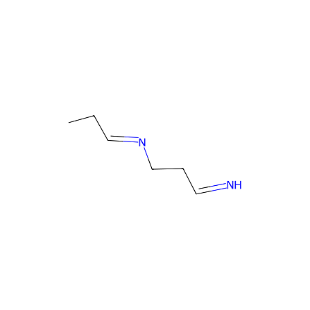 CCC=NCCC=N